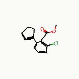 COC(=O)c1c(Cl)cccc1C1=CCCC1